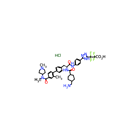 Cc1cc(C(=O)N(C)C2CCN(C)CC2)ccc1-c1ccc(C[C@H](NC(=O)C2CCC(CN)CC2)C(=O)Nc2ccc(-c3nnc(C(F)(F)C(F)(F)C(=O)O)[nH]3)cc2)cc1.Cl